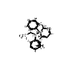 CCN(c1ccccc1)[N+]1(c2ccccc2)C(NC)=CC=NC1C.[Cl-]